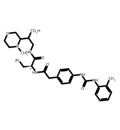 Cc1ccccc1NC(=O)Nc1ccc(CC(=O)N[C@@H](CC(C)C)C(=O)NCC(C(=O)O)C2COCCN2C)cc1